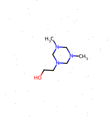 CN1CN(C)CN(CCO)C1